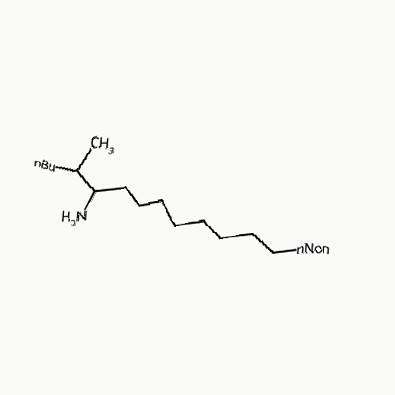 CCCCCCCCCCCCCCCCCC(N)C(C)CCCC